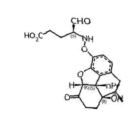 CCC[C@]12c3c4ccc(ON[C@H](C=O)CCC(=O)O)c3O[C@H]1C(=O)CC[C@@]2(O)[C@H](C)C4